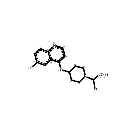 CCC(C(=O)O)N1CCC(Oc2ccnc3ccc(F)cc23)CC1